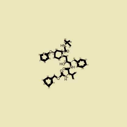 CC(C)[C@H](NC(=O)OCc1ccccc1)C(=O)N[C@@H](Cc1ccccc1)[C@H](O)CN1CC[C@@H](Oc2ccccn2)C[C@H]1C(=O)NC(C)(C)C